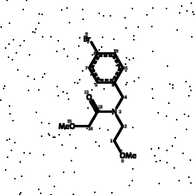 COCCN(Cc1ccc(Br)cc1)C(=O)COC